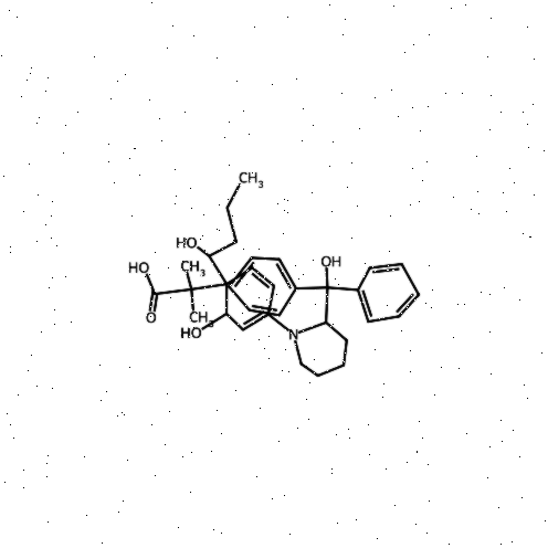 CCCC(O)C1(C(C)(C)C(=O)O)C=CC(N2CCCCC2C(O)(c2ccccc2)c2ccccc2)=CC1O